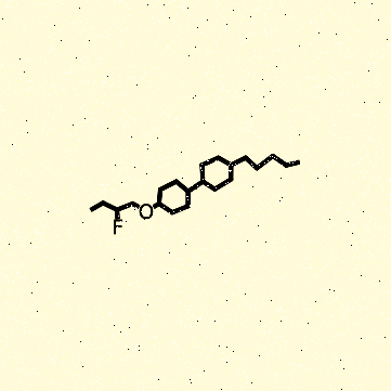 CCCCCC1CCC(C2CCC(OCC(F)CC)CC2)CC1